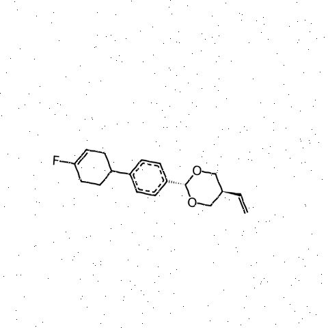 C=C[C@H]1CO[C@H](c2ccc(C3CC=C(F)CC3)cc2)OC1